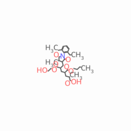 CCCCOC(=O)C(CC(C)C(=O)O)CC(CC1C(=O)N(c2c(CC)cccc2CC)C(=O)C1C)C(=O)OCCO